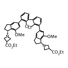 CCOC(=O)C1CN([C@H]2CCc3cc(-c4cccc(-c5cccc(-c6cc7c(c(OC)c6)[C@@H](N6CC(C(=O)OCC)C6)CC7)c5Cl)c4Cl)cc(OC)c32)C1